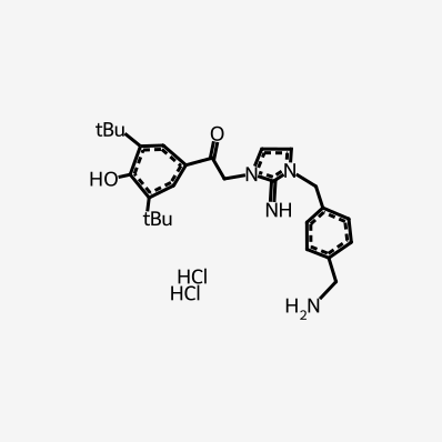 CC(C)(C)c1cc(C(=O)Cn2ccn(Cc3ccc(CN)cc3)c2=N)cc(C(C)(C)C)c1O.Cl.Cl